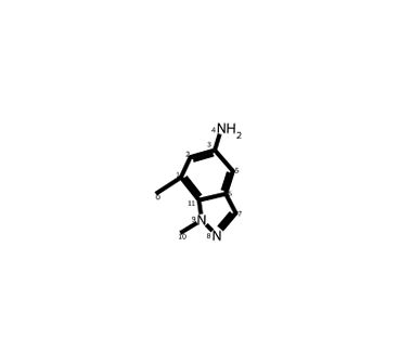 Cc1cc(N)cc2cnn(C)c12